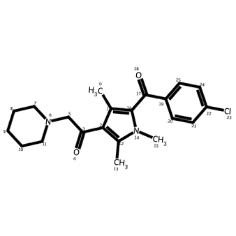 Cc1c(C(=O)CN2CCCCC2)c(C)n(C)c1C(=O)c1ccc(Cl)cc1